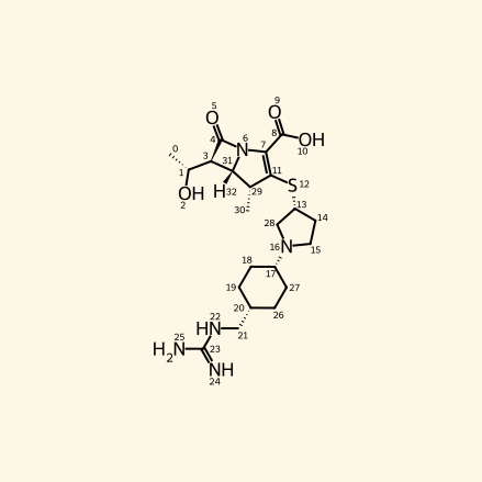 C[C@@H](O)[C@H]1C(=O)N2C(C(=O)O)=C(S[C@@H]3CCN([C@H]4CC[C@@H](CNC(=N)N)CC4)C3)[C@H](C)[C@H]12